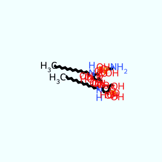 CCCCCCCCCCC[C@@H](O)CC(=O)NC1CC(O)[C@H](OP(=O)(O)O)C(CO)O[C@H]1OCC1O[C@H](OP(=O)(O)OP(=O)(O)CCN)C(NC(=O)C[C@H](O)CCCCCCCCCCC)C(O)[C@@H]1O